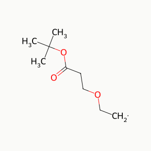 [CH2]COCCC(=O)OC(C)(C)C